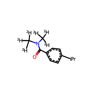 [2H]C([2H])([2H])N(C(=O)c1ccc(C(C)C)cc1)C([2H])([2H])[2H]